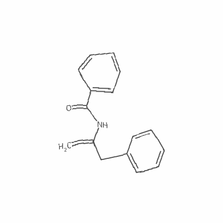 C=C(Cc1ccccc1)NC(=O)c1ccccc1